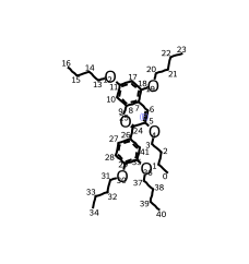 CCCCO/C(=C/c1c(C)cc(OCCCC)cc1OCCCC)C(=O)c1ccc(OCCCC)c(OCCCC)c1